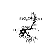 CCOC(=O)C(C)OP(=O)(O)CCNCC(C)=CCc1c(OC)c(C)c2c(c1OCC[Si](C)(C)C)C(=O)OC2